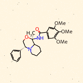 COc1cc(C(=O)N[C@]2(C)OC[C@@H](c3ccccc3)N3CCCCC32)cc(OC)c1OC